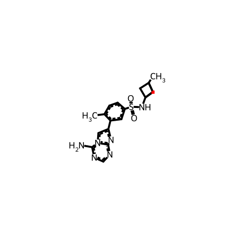 Cc1ccc(S(=O)(=O)NC23CC(C)(C2)C3)cc1-c1cn2c(N)ncnc2n1